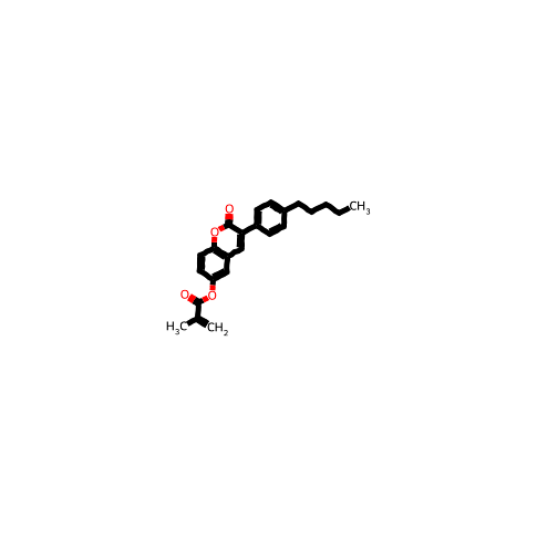 C=C(C)C(=O)Oc1ccc2oc(=O)c(-c3ccc(CCCCC)cc3)cc2c1